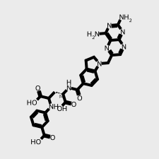 Nc1nc(N)c2nc(CN3CCc4cc(C(=O)N[C@@H](CC(Nc5cccc(C(=O)O)c5)C(=O)O)C(=O)O)ccc43)cnc2n1